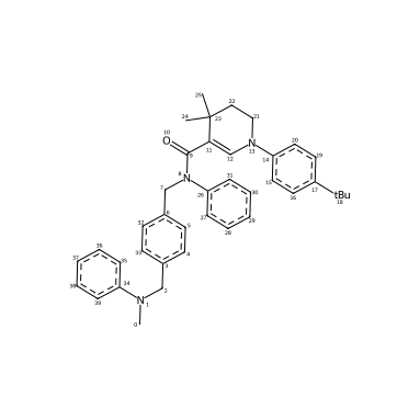 CN(Cc1ccc(CN(C(=O)C2=CN(c3ccc(C(C)(C)C)cc3)CCC2(C)C)c2ccccc2)cc1)c1ccccc1